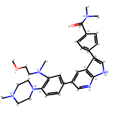 COCCN(C)c1cc(-c2cnc3[nH]cc(-c4ccc(C(=O)N(C)C)cc4)c3c2)ccc1N1CCN(C)CC1